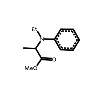 CCN(c1ccccc1)C(C)C(=O)OC